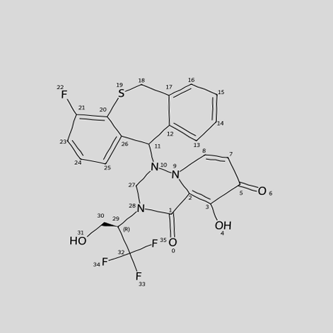 O=C1c2c(O)c(=O)ccn2N(C2c3ccccc3CSc3c(F)cccc32)CN1[C@H](CO)C(F)(F)F